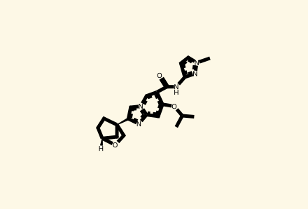 CC(C)Oc1cc2nc([C@]34CC[C@H](C3)OC4)cn2cc1C(=O)Nc1ccn(C)n1